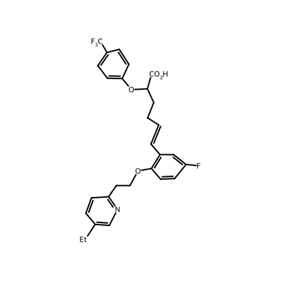 CCc1ccc(CCOc2ccc(F)cc2/C=C/CCC(Oc2ccc(C(F)(F)F)cc2)C(=O)O)nc1